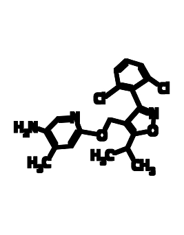 Cc1cc(OCc2c(-c3c(Cl)cccc3Cl)noc2C(C)C)ncc1N